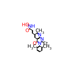 CCc1nc2nc(C)c(/C=C/C(=O)NO)cc2c(=O)n1-c1c(C)cccc1C